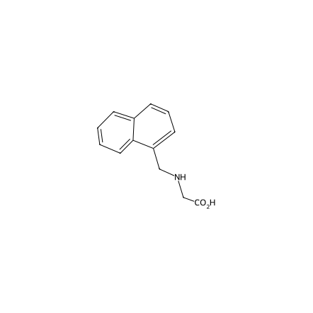 O=C(O)CNCc1cccc2ccccc12